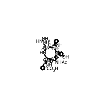 CC(=O)N[C@@H]1C[C@H]2C(=O)N[C@H](CC3CCC(O)CC3)C(=O)N[C@@H](Cc3c[nH]c4ccccc34)C(=O)N[C@@H](CCCNC(=N)N)C(=O)NCCC[C@H](NC(=O)[C@H](Cc3ccccc3)NCC(=O)O)C(=O)N2C1